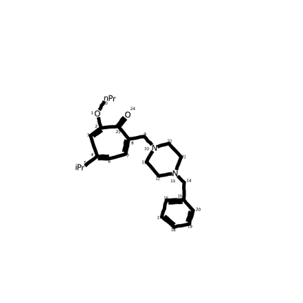 CCCOc1cc(C(C)C)ccc(CN2CCN(Cc3ccccc3)CC2)c1=O